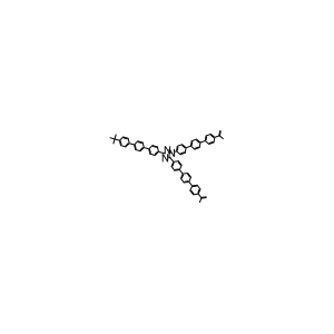 C=C(C)c1ccc(-c2ccc(-c3ccc(-c4nc(-c5ccc(-c6ccc(-c7ccc(C(C)(C)C)cc7)cc6)cc5)nn4-c4ccc(-c5ccc(-c6ccc(C(=C)C)cc6)cc5)cc4)cc3)cc2)cc1